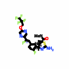 CNC(=O)[C@]12C[C@H]1[C@@](C)(c1cc(/C=C(\F)c3cnc(OCC(F)(F)C(F)F)cn3)ccc1F)N=C(N)S2